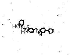 O[C@@H]1CCCC[C@H]1Nc1nc2ccc(Cn3cnc4cc(C5=CCCCC5)ccc43)cc2s1